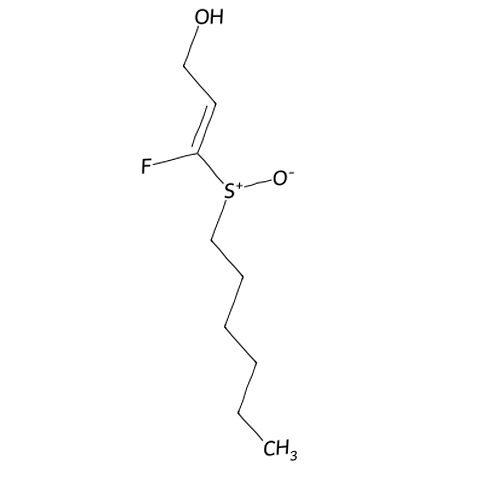 CCCCCC[S+]([O-])C(F)=CCO